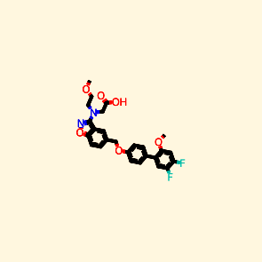 COCCN(CC(=O)O)c1noc2ccc(COc3ccc(-c4cc(F)c(F)cc4OC)cc3)cc12